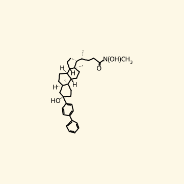 C[C@H](CCC(=O)N(C)O)[C@H]1CC[C@H]2[C@@H]3CC[C@@H]4C[C@](O)(c5ccc(-c6ccccc6)cc5)CC[C@]4(C)[C@H]3CC[C@]12C